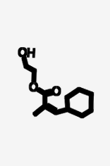 CC(=CC1CCCCC1)C(=O)OCCO